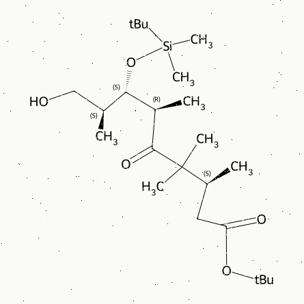 C[C@@H](CO)[C@H](O[Si](C)(C)C(C)(C)C)[C@@H](C)C(=O)C(C)(C)[C@@H](C)CC(=O)OC(C)(C)C